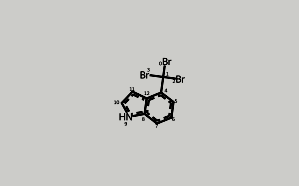 BrC(Br)(Br)c1cccc2[nH]ccc12